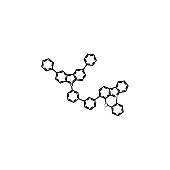 c1ccc(-c2ccc3c(c2)c2cc(-c4ccccc4)ccc2n3-c2cccc(-c3cccc(-c4ccc5c6ccccc6n6c5c4Oc4ccccc4-6)c3)c2)cc1